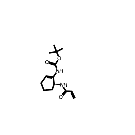 C=CC(=O)N[C@H]1CCCC=C1NC(=O)OC(C)(C)C